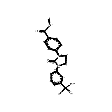 COC(=O)c1ccc(N2CCN(c3cccc(C(F)(F)F)c3)C2=O)cc1